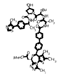 COC(=O)C[C@@H]1N=C(c2ccc(-c3ccc(C(=O)N[C@@H](C)C(=O)NC(C(=O)N4C[C@H](O)C[C@H]4C(=O)N[C@@H](C)c4ccc(-c5scnc5C)cc4)C(C)(C)C)cc3)cc2)c2c(sc(C)c2C)-n2c(C)nnc21